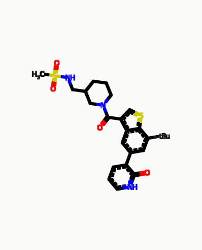 CC(C)(C)c1cc(-c2ccc[nH]c2=O)cc2c(C(=O)N3CCCC(CNS(C)(=O)=O)C3)csc12